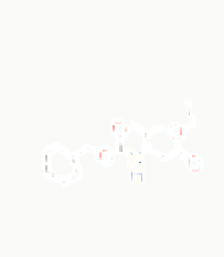 CC(C)C(CC(=O)OCI)NC(=O)OCc1ccccc1